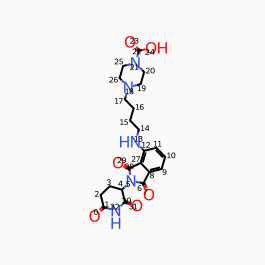 O=C1CCC(N2C(=O)c3cccc(NCCCCN4CCN(C(=O)O)CC4)c3C2=O)C(=O)N1